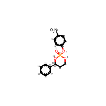 O=[N+]([O-])c1ccc(OP2(=O)OCC[C@@H](c3ccccc3)O2)cc1